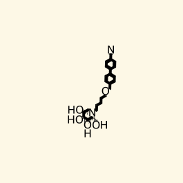 N#Cc1ccc(-c2ccc(COCCCCCN3C[C@H](O)C(O)[C@H](O)[C@H]3CO)cc2)cc1